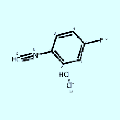 C#[N+]c1ccc(F)cc1.Cl.[Cl-]